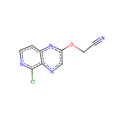 N#CCOc1cnc2c(Cl)nccc2n1